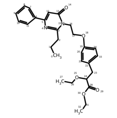 CCCc1nc(-c2ccccc2)cc(=O)n1CCOc1ccc(CC(OCC)C(=O)OCC)cc1